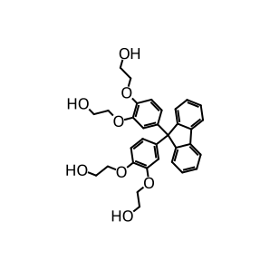 OCCOc1ccc(C2(c3ccc(OCCO)c(OCCO)c3)c3ccccc3-c3ccccc32)cc1OCCO